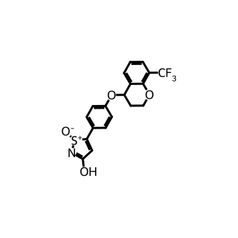 [O-][s+]1nc(O)cc1-c1ccc(OC2CCOc3c2cccc3C(F)(F)F)cc1